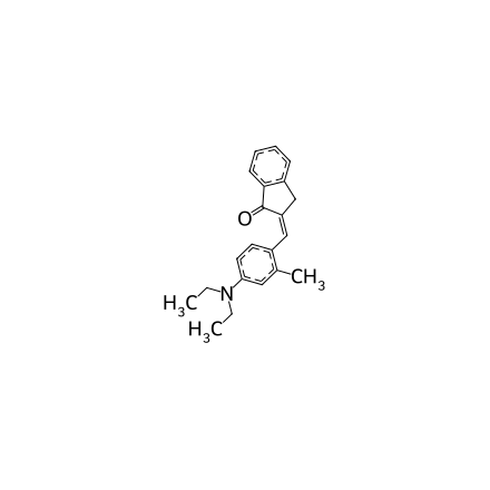 CCN(CC)c1ccc(C=C2Cc3ccccc3C2=O)c(C)c1